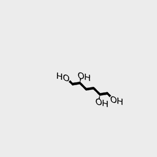 OC[C@H](O)CC[C@@H](O)CO